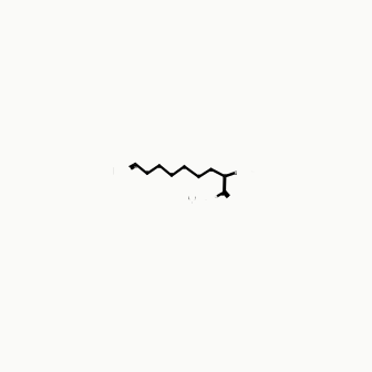 C=CCCCCCCC(CCCCCCCC)C(=O)OC